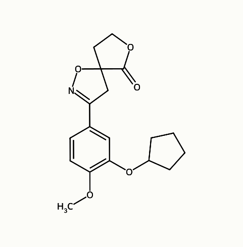 COc1ccc(C2=NOC3(CCOC3=O)C2)cc1OC1CCCC1